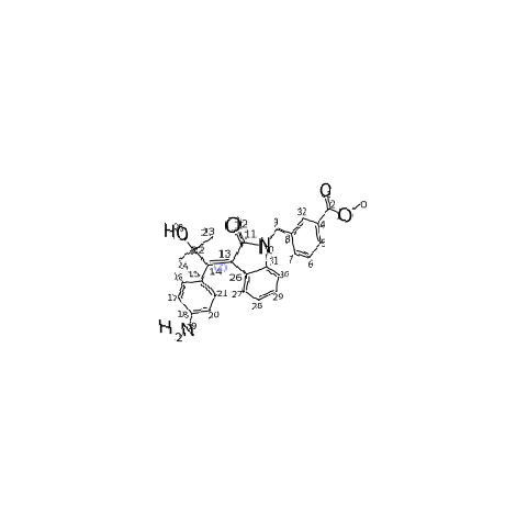 COC(=O)c1cccc(CN2C(=O)/C(=C(/c3ccc(N)cc3)C(C)(C)O)c3ccccc32)c1